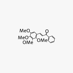 COc1cc(C=CC(=O)c2ccccc2)c(OC)c(OC)c1OC